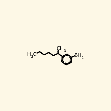 Bc1cccc(C(C)CCCCC)c1